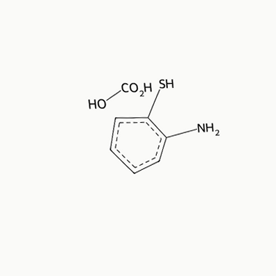 Nc1ccccc1S.O=C(O)O